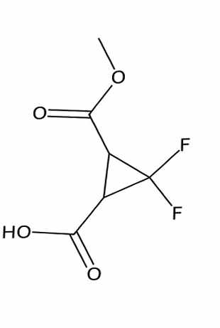 COC(=O)C1C(C(=O)O)C1(F)F